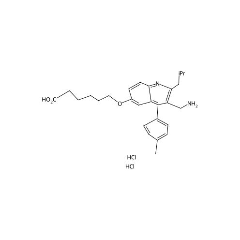 Cc1ccc(-c2c(CN)c(CC(C)C)nc3ccc(OCCCCCC(=O)O)cc23)cc1.Cl.Cl